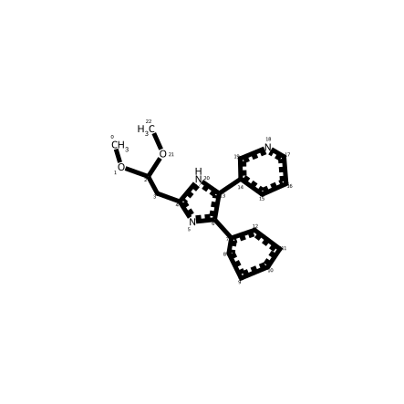 COC(Cc1nc(-c2ccccc2)c(-c2cccnc2)[nH]1)OC